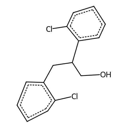 OCC(Cc1ccccc1Cl)c1ccccc1Cl